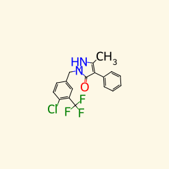 Cc1[nH]n(Cc2ccc(Cl)c(C(F)(F)F)c2)c(=O)c1-c1ccccc1